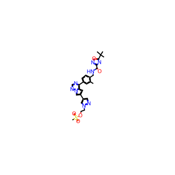 Cc1cc(-c2ncnn3cc(-c4cnn(CCOS(C)(=O)=O)c4)cc23)ccc1CNC(=O)c1noc(C(C)(C)C)n1